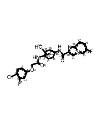 O=C(COc1ccc(Cl)c(F)c1)NC12CCC(NC(=O)c3cn4cc(F)ccc4n3)(CC1)CC2O